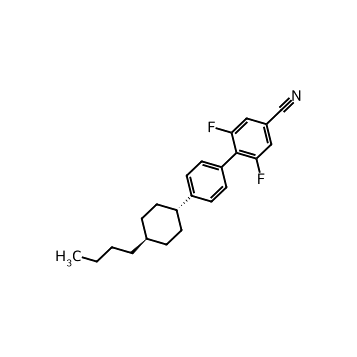 CCCC[C@H]1CC[C@H](c2ccc(-c3c(F)cc(C#N)cc3F)cc2)CC1